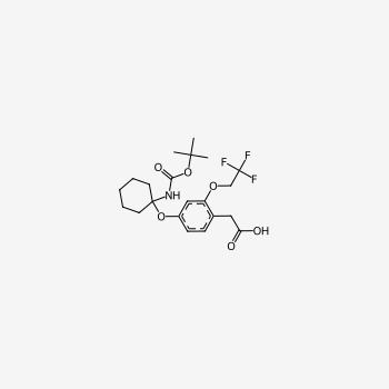 CC(C)(C)OC(=O)NC1(Oc2ccc(CC(=O)O)c(OCC(F)(F)F)c2)CCCCC1